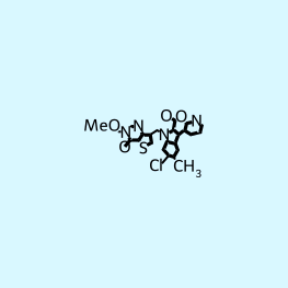 COCn1cnc2c(Cn3c4cc(Cl)c(C)cc4c4c5cccnc5oc(=O)c43)csc2c1=O